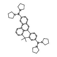 CC1(C)c2cc(B(N3CCCC3)N3CCCC3)ccc2-c2cc3ccc(B(N4CCCC4)N4CCCC4)cc3c3cccc1c23